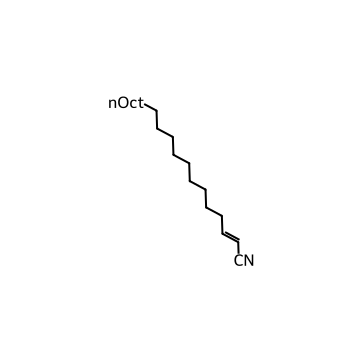 CCCCCCCCCCCCCCCCCC=CC#N